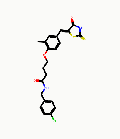 Cc1cc(/C=C2\SC(=S)NC2=O)ccc1OCCCC(=O)NCc1ccc(Cl)cc1